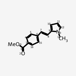 COC(=O)c1ccc(/C=C/c2cccn2C)cc1